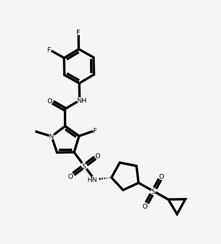 Cn1cc(S(=O)(=O)N[C@@H]2CCC(S(=O)(=O)C3CC3)C2)c(F)c1C(=O)Nc1ccc(F)c(F)c1